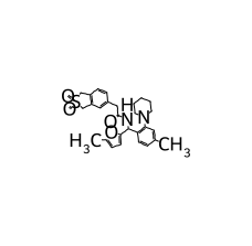 Cc1ccc(C(NC(=O)Cc2ccc3c(c2)CS(=O)(=O)C3)c2ccc(C)o2)c(N2CCCCC2)c1